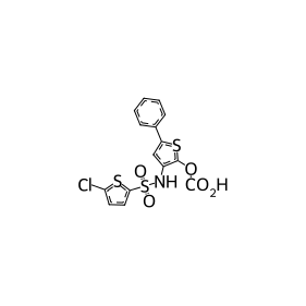 O=C(O)Oc1sc(-c2ccccc2)cc1NS(=O)(=O)c1ccc(Cl)s1